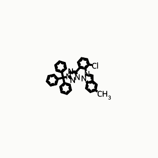 Cc1ccc2nn(-c3c(Cl)cccc3-c3nnn(C(c4ccccc4)(c4ccccc4)c4ccccc4)n3)cc2c1